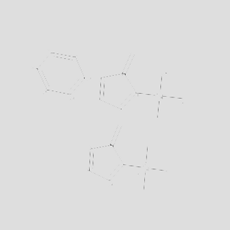 C=C1C=CC=C1[Si](C)(C)C.C=C1C=CC=C1[Si](C)(C)C.c1ccccc1